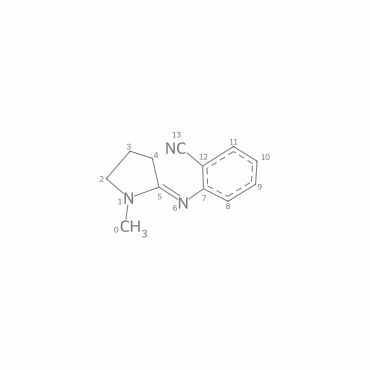 CN1CCC/C1=N\c1ccccc1C#N